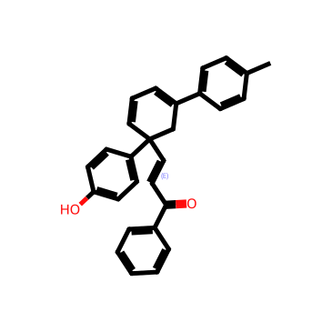 Cc1ccc(C2=CC=CC(/C=C/C(=O)c3ccccc3)(c3ccc(O)cc3)C2)cc1